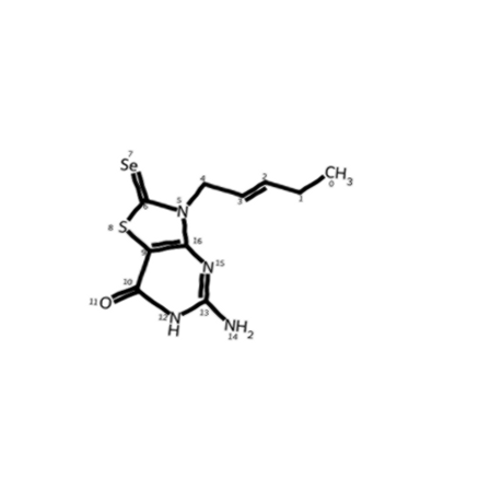 CCC=CCn1c(=[Se])sc2c(=O)[nH]c(N)nc21